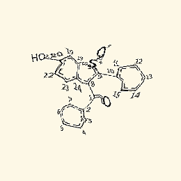 O=C(c1ccccc1)c1c(-c2ccccc2)[s+]([O-])c2cc(O)ccc12